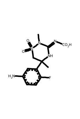 CN1C(=NC(=O)O)NC(C)(c2cc(N)ccc2F)CS1(=O)=O